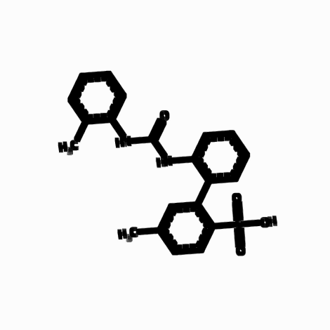 Cc1ccc(S(=O)(=O)O)c(-c2ccccc2NC(=O)Nc2ccccc2C)c1